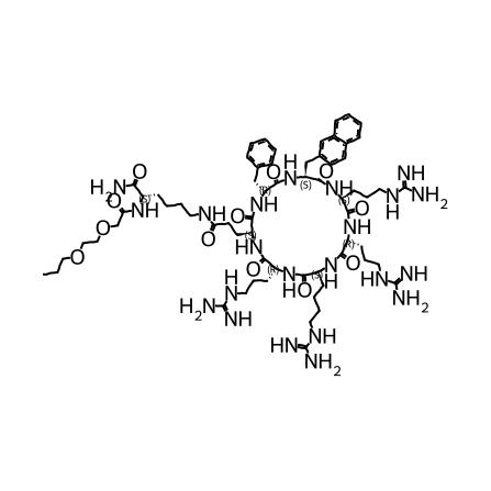 CCCOCCOCC(=O)N[C@@H](CCCCNC(=O)CC[C@@H]1NC(=O)[C@@H](CCCNC(=N)N)NC(=O)[C@H](CCCCNC(=N)N)NC(=O)[C@@H](CCCNC(=N)N)NC(=O)[C@H](CCCNC(=N)N)NC(=O)[C@H](Cc2ccc3ccccc3c2)NC(=O)[C@@H](Cc2ccccc2)NC1=O)C(N)=O